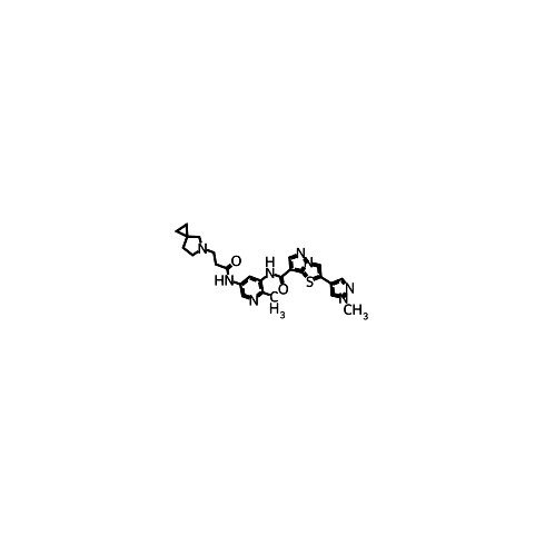 Cc1ncc(NC(=O)CCN2CCC3(CC3)C2)cc1NC(=O)c1cnn2cc(-c3cnn(C)c3)sc12